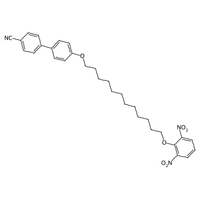 N#Cc1ccc(-c2ccc(OCCCCCCCCCCCCOc3c([N+](=O)[O-])cccc3[N+](=O)[O-])cc2)cc1